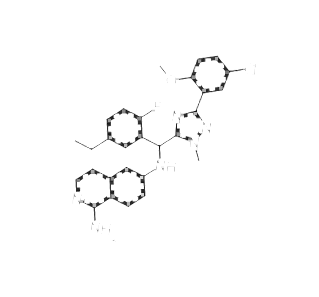 CCc1ccc(F)c(C(Nc2ccc3c(N)nccc3c2)c2nc(-c3cc(Cl)ccc3OC)nn2C)c1